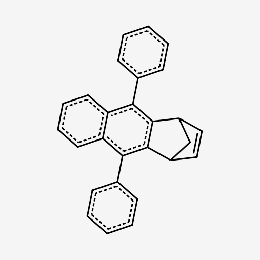 C1=CC2CC1c1c2c(-c2ccccc2)c2ccccc2c1-c1ccccc1